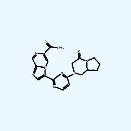 NC(=O)c1cn2c(-c3nccc(N4CC(=O)N5CCCC5C4)n3)cnc2cn1